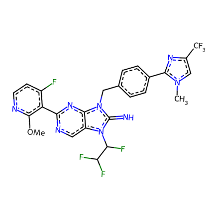 COc1nccc(F)c1-c1ncc2c(n1)n(Cc1ccc(-c3nc(C(F)(F)F)cn3C)cc1)c(=N)n2C(F)C(F)F